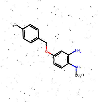 CCOC(=O)Nc1ccc(OCc2ccc(C(F)(F)F)cc2)cc1N